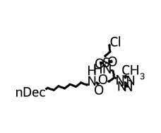 CCCCCCCCCCCCCCCCCCNC(=O)OCC(CNS(=O)(=O)CCCCl)n1nnnc1C